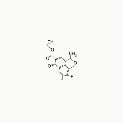 CCOC(=O)c1cn2c3c(c(F)c(F)cc3c1=O)COC2C